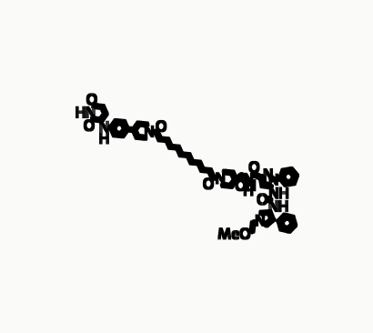 COCCN1C[C@@H](NC(=O)Nc2cc(C(=O)NCC3(O)CCN(C(=O)CCCCCCCCCCC(=O)N4CCC(c5ccc(NC6CCC(=O)NC6=O)cc5)CC4)CC3)nn2-c2ccccc2)[C@H](c2ccccc2)C1